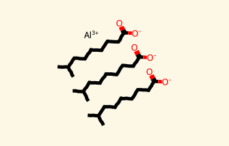 CC(C)CCCCCCC(=O)[O-].CC(C)CCCCCCC(=O)[O-].CC(C)CCCCCCC(=O)[O-].[Al+3]